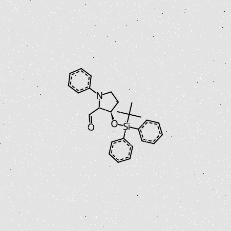 CC(C)(C)[Si](O[C@@H]1CCN(c2ccccc2)C1C=O)(c1ccccc1)c1ccccc1